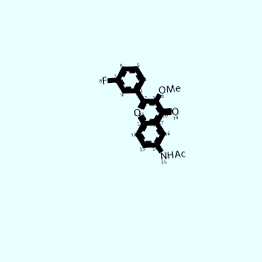 COc1c(-c2cccc(F)c2)oc2ccc(NC(C)=O)cc2c1=O